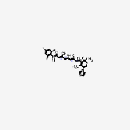 CC1=C(/C=C/C(C)=C/C=C/C(C)=C/C(=O)Nc2c(F)cc(F)cc2F)C(C)(C)CCC1n1ccnc1